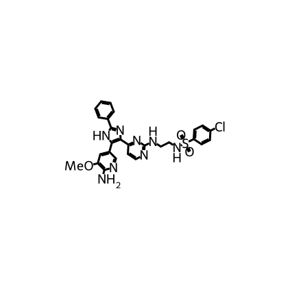 COc1cc(-c2[nH]c(-c3ccccc3)nc2-c2ccnc(NCCNS(=O)(=O)c3ccc(Cl)cc3)n2)cnc1N